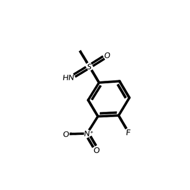 CS(=N)(=O)c1ccc(F)c([N+](=O)[O-])c1